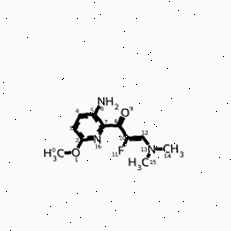 COc1ccc(N)c(C(=O)C(F)=CN(C)C)n1